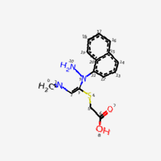 C=N/C=C(/SCC(=O)O)N(N)c1cccc2ccccc12